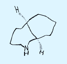 C1C[C@@H]2CCN[C@@H]2C1